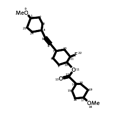 COC1CCC(C#CC2CCC(OC(=O)C3CCC(OC)CC3)C(F)C2)CC1